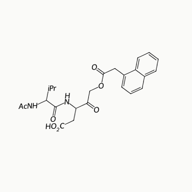 CC(=O)NC(C(=O)NC(CC(=O)O)C(=O)COC(=O)Cc1cccc2ccccc12)C(C)C